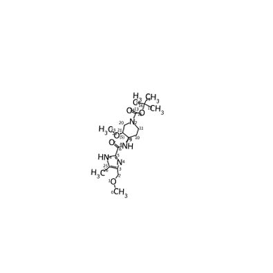 COCc1nc(C(=O)N[C@@H]2CCN(C(=O)OC(C)(C)C)C[C@@H]2OC)[nH]c1C